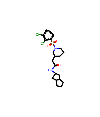 O=C(CC1CCCN(S(=O)(=O)c2cccc(Cl)c2Cl)C1)NC1CC2CCCC2C1